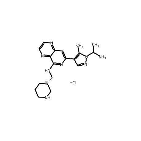 Cc1c(-c2cc3nccnc3c(NC[C@H]3CCCNC3)n2)cnn1C(C)C.Cl